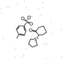 Cc1ccc(S(=O)(=O)[O-])cc1.O=C1CCCCC1[S+]1CCCC1